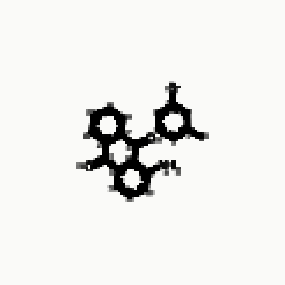 Cc1cccc(Br)c1.Nc1cccc2c1C(=O)c1ccccc1C2=O